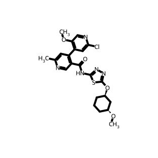 COc1cnc(Cl)cc1-c1cc(C)ncc1C(=O)Nc1nnc(O[C@@H]2CCC[C@@H](OC)C2)s1